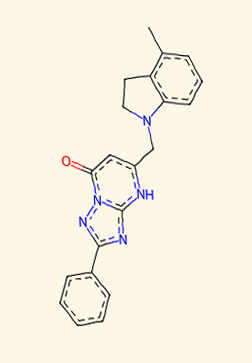 Cc1cccc2c1CCN2Cc1cc(=O)n2nc(-c3ccccc3)nc2[nH]1